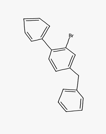 Brc1cc(Cc2ccccc2)ccc1-c1ccccc1